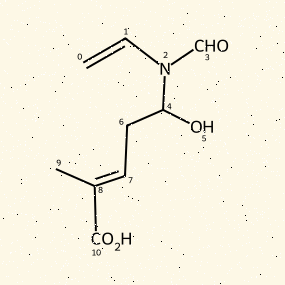 C=CN(C=O)C(O)CC=C(C)C(=O)O